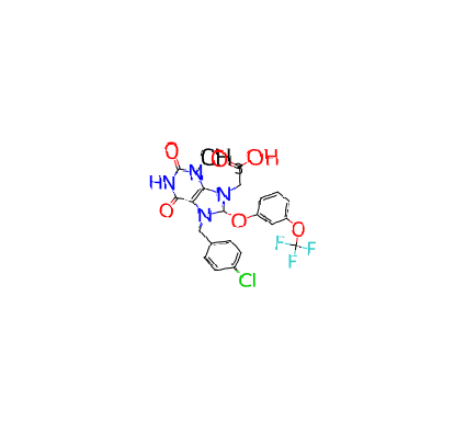 Cn1c2c(c(=O)[nH]c1=O)N(Cc1ccc(Cl)cc1)C(Oc1cccc(OC(F)(F)F)c1)N2CC(=O)O